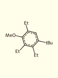 CCc1cc(C(C)(C)C)c(CC)c(CC)c1OC